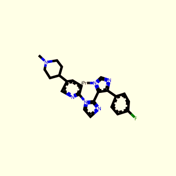 CC(C)n1cnc(-c2ccc(F)cc2)c1-c1nccn1-c1ccc(C2CCN(C)CC2)cn1